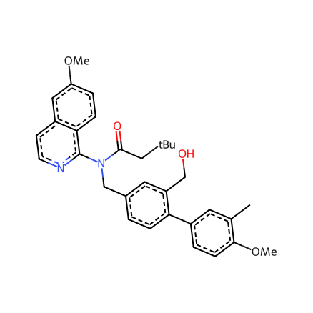 COc1ccc2c(N(Cc3ccc(-c4ccc(OC)c(C)c4)c(CO)c3)C(=O)CC(C)(C)C)nccc2c1